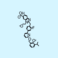 COCCn1c(Cc2ccc(-c3cccc(OCc4cccc(C(C)C)c4OC)n3)cc2F)nc2ccc(C(=O)O)cc21